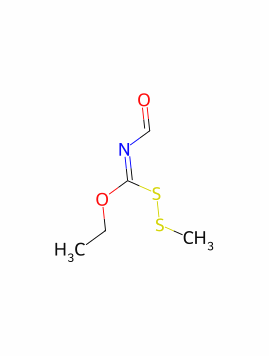 CCO/C(=N/C=O)SSC